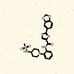 CS(=O)(=O)NC1CCN(c2ccccc2NC(=O)c2csc(-c3ccc4c(c3)OCO4)n2)CC1